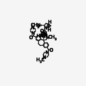 C[C@@H](CC1(c2nnn[nH]2)c2ccc(C(=O)N3CCN(C)CC3)cc2CCc2cc(C(=O)N3CCN(C)CC3)ccc21)NCC(=O)N1C(C#N)C[C@@H]2C[C@@H]21